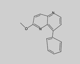 COc1ccc2nccc(-c3ccccc3)c2n1